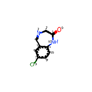 O=C1CN=Cc2cc(Cl)ccc2N1